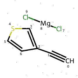 C#Cc1[c]scc1.[Cl][Mg][Cl]